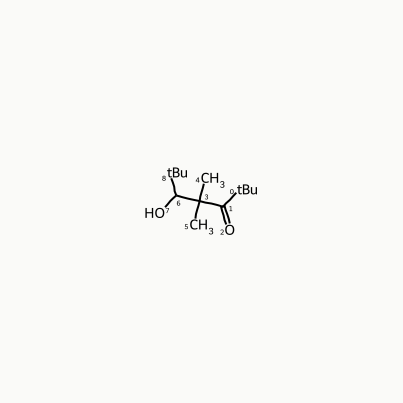 CC(C)(C)C(=O)C(C)(C)C(O)C(C)(C)C